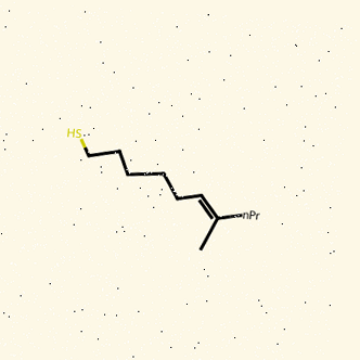 CCC/C(C)=C/CCCCCS